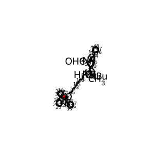 CC(C)(C)[Si](C)(C)O[C@H](CNCCCCCCCCCOC(=O)N(c1ccccc1-c1ccccc1)N1CC[CH]CC1)c1ccc(OCc2ccccc2)c(NC=O)c1